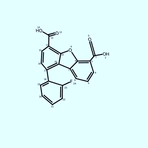 O=C(O)c1cccc2c1oc1c(C(=O)O)ccc(-c3ccccc3F)c12